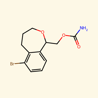 NC(=O)OCC1OCCCc2c(Br)cccc21